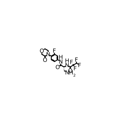 NC[C@@H](NC(=O)C(F)(F)C(F)F)C(=O)Nc1ccc(N2CCOCC2=O)c(F)c1